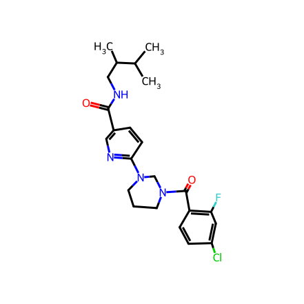 CC(C)C(C)CNC(=O)c1ccc(N2CCCN(C(=O)c3ccc(Cl)cc3F)C2)nc1